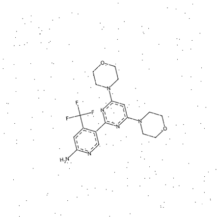 Nc1cc(C(F)(F)F)c(-c2nc(N3CCOCC3)cc(N3CCOCC3)n2)cn1